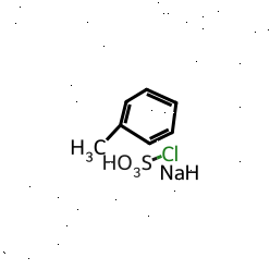 Cc1ccccc1.O=S(=O)(O)Cl.[NaH]